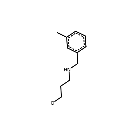 Cc1cccc(CNCCC[O])c1